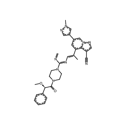 C=N/C(=N\C=C(/C)c1cc(-c2cnn(C)c2)cn2ncc(C#N)c12)N1CCN(C(=O)[C@H](OC)c2ccccc2)CC1